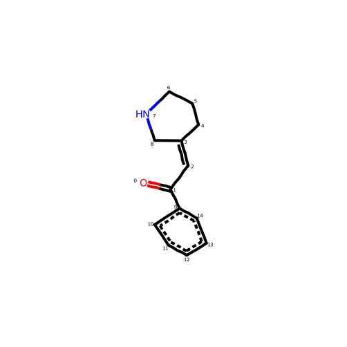 O=C(C=C1CCCNC1)c1ccccc1